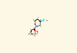 C=CC(=O)N1CCC[C@@H](F)C1